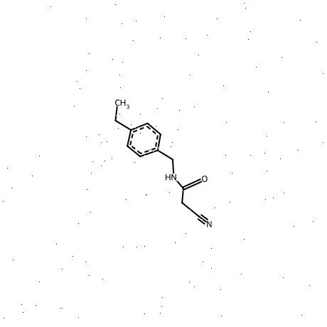 CCc1ccc(CNC(=O)CC#N)cc1